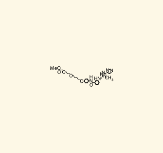 COC(=O)COCCCOCCCCCOc1ccc(NC(=O)c2cccc(NCc3nnc(-c4ccncn4)n3C)c2)cc1